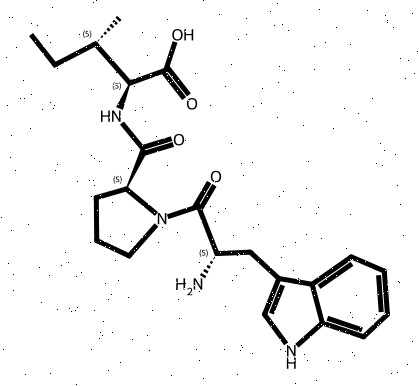 CC[C@H](C)[C@H](NC(=O)[C@@H]1CCCN1C(=O)[C@@H](N)Cc1c[nH]c2ccccc12)C(=O)O